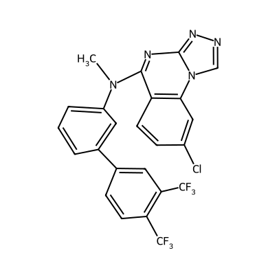 CN(c1cccc(-c2ccc(C(F)(F)F)c(C(F)(F)F)c2)c1)c1nc2nncn2c2cc(Cl)ccc12